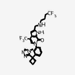 Cn1cnnc1C1(c2cccc(-n3cc(C(F)(F)F)c4cc(CNCCCC(F)(F)F)[nH]c4c3=O)c2)CCC1